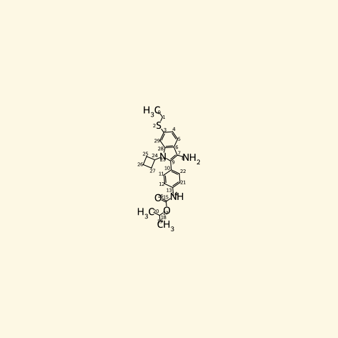 CCSc1ccc2c(N)c(-c3ccc(NC(=O)OC(C)C)cc3)n(C3CCC3)c2c1